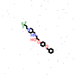 OC(CNCC1CCN(CCC(F)(F)F)CC1)COc1ccc(OCc2ccccc2)cc1